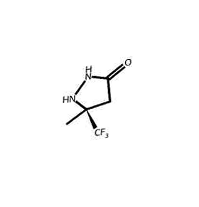 C[C@@]1(C(F)(F)F)CC(=O)NN1